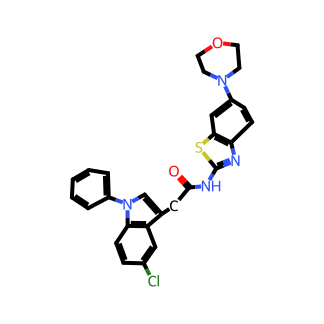 O=C(Cc1cn(-c2ccccc2)c2ccc(Cl)cc12)Nc1nc2ccc(N3CCOCC3)cc2s1